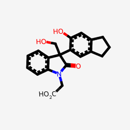 O=C(O)CN1C(=O)C(CO)(c2cc3c(cc2O)CCC3)c2ccccc21